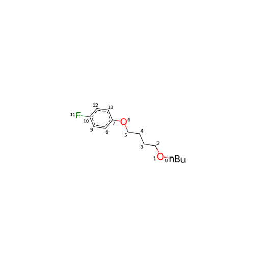 CCCCOCCCCOc1ccc(F)cc1